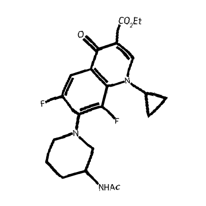 CCOC(=O)c1cn(C2CC2)c2c(F)c(N3CCCC(NC(C)=O)C3)c(F)cc2c1=O